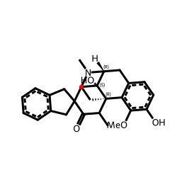 COc1c(O)ccc2c1[C@]13CCN(C)[C@H](C2)[C@]1(O)CC1(Cc2ccccc2C1)C(=O)C3C